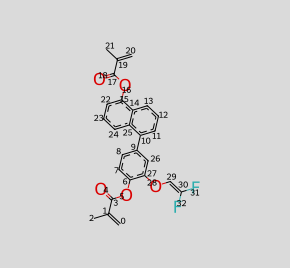 C=C(C)C(=O)Oc1ccc(-c2cccc3c(OC(=O)C(=C)C)cccc23)cc1OC=C(F)F